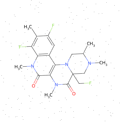 Cc1c(F)cc2c3c(c(=O)n(C)c2c1F)N(C)C(=O)C1(CF)CN(C)C(C)CN31